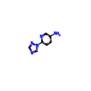 Nc1ccc(-n2cncn2)nc1